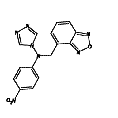 O=[N+]([O-])c1ccc(N(Cc2cccc3nonc23)n2cnnc2)cc1